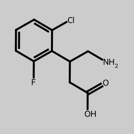 NCC(CC(=O)O)c1c(F)cccc1Cl